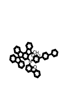 CC1(C)c2ccccc2-c2c3c(cc(N(c4ccc(-c5ccc(-c6ccccc6)cc5)cc4)c4cccc5c4oc4ccccc45)c21)C1(c2ccccc2-c2ccccc21)c1ccccc1-3